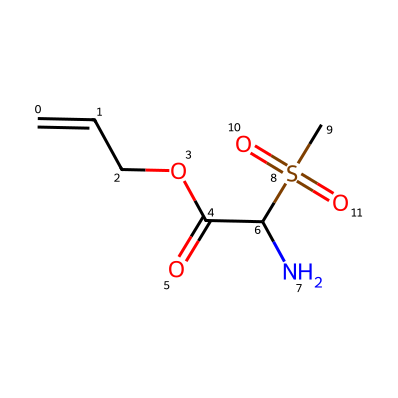 C=CCOC(=O)C(N)S(C)(=O)=O